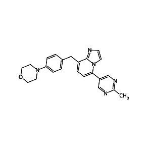 Cc1ncc(-c2ccc(Cc3ccc(N4CCOCC4)cc3)c3nccn23)cn1